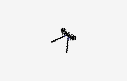 CCCCCCCCCCC/C=C1\c2nc([Si](C(C)C)(C(C)C)C(C)C)sc2-c2sc3c(c21)/C(=C/CCCCCCCCCCC)c1nc([Si](C(C)C)(C(C)C)C(C)C)sc1-3